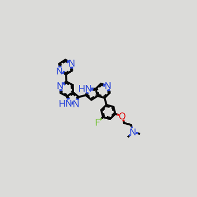 CN(C)CCOc1cc(F)cc(-c2cncc3[nH]c(-c4n[nH]c5cnc(-c6cnccn6)cc45)cc23)c1